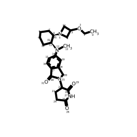 CCOC1CN([C@@H]2CCCC[C@@H]2N(C)c2ccc3c(c2)CN(C2CCC(=O)NC2=O)C3=O)C1